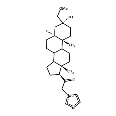 COC[C@@]1(O)CC[C@]2(C)C3CC[C@@]4(C)C(CC[C@@H]4C(=O)Cn4ccnc4)C3CC[C@H]2C1